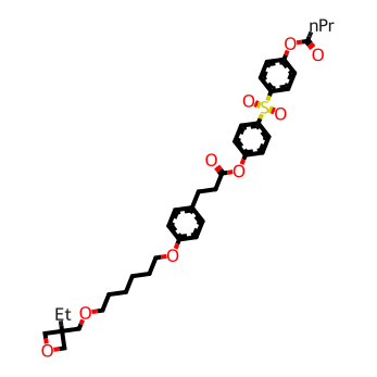 CCCC(=O)Oc1ccc(S(=O)(=O)c2ccc(OC(=O)CCc3ccc(OCCCCCCOCC4(CC)COC4)cc3)cc2)cc1